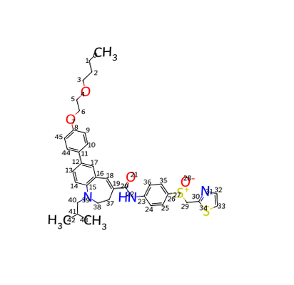 CCCCOCCOc1ccc(-c2ccc3c(c2)C=C(C(=O)Nc2ccc([S+]([O-])Cc4nccs4)cc2)CCN3CC(C)C)cc1